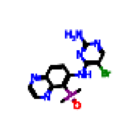 CP(C)(=O)c1c(Nc2nc(N)ncc2Br)ccc2nccnc12